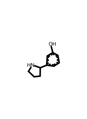 Oc1cccc(C2CCCN2)c1